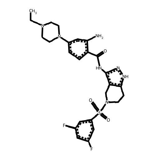 CCN1CCN(c2ccc(C(=O)Nc3n[nH]c4c3CN(S(=O)(=O)c3cc(F)cc(F)c3)CC4)c(N)c2)CC1